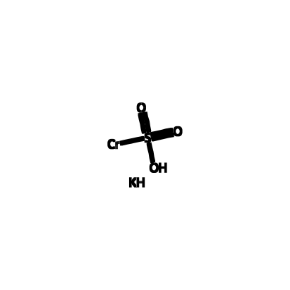 O=[S](=O)(O)[Cr].[KH]